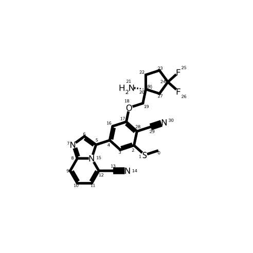 CSc1cc(-c2cnc3cccc(C#N)n23)cc(OC[C@@]2(N)CCC(F)(F)C2)c1C#N